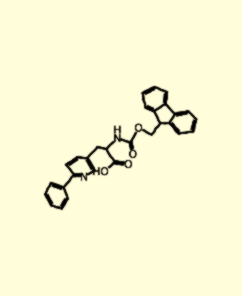 O=C(NC(Cc1ccc(-c2ccccc2)nc1)C(=O)O)OCC1c2ccccc2-c2ccccc21